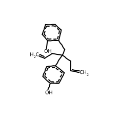 C=CCC(CC=C)(Cc1ccccc1O)c1ccc(O)cc1